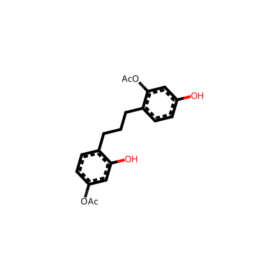 CC(=O)Oc1ccc(CCCc2ccc(O)cc2OC(C)=O)c(O)c1